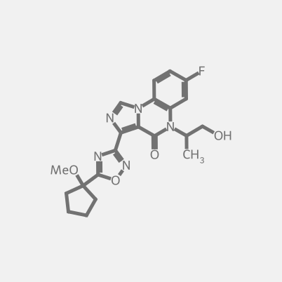 COC1(c2nc(-c3ncn4c3c(=O)n(C(C)CO)c3cc(F)ccc34)no2)CCCC1